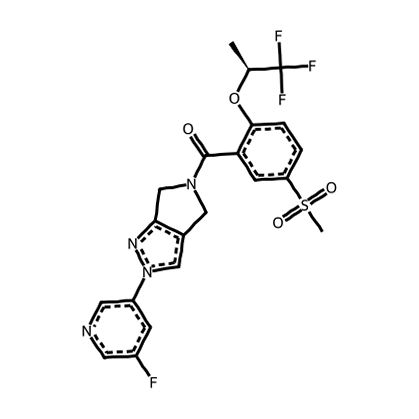 C[C@H](Oc1ccc(S(C)(=O)=O)cc1C(=O)N1Cc2cn(-c3cncc(F)c3)nc2C1)C(F)(F)F